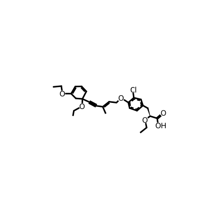 CCOC1=CC=CC(C#CC(C)=CCOc2ccc(C[C@H](OCC)C(=O)O)cc2Cl)(OCC)C1